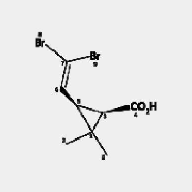 CC1(C)[C@H](C(=O)O)[C@@H]1C=C(Br)Br